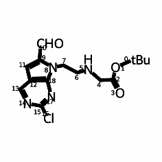 CC(C)(C)OC(=O)CNCCn1c(C=O)cc2cnc(Cl)nc21